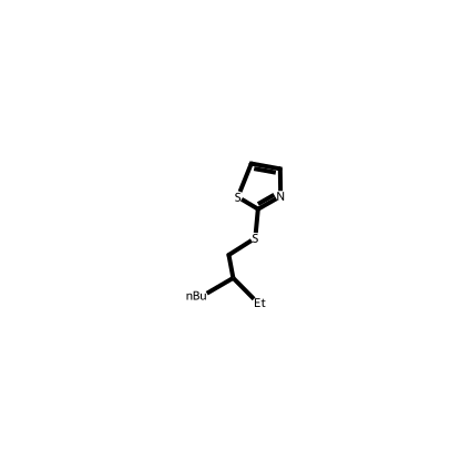 CCCCC(CC)CSc1nccs1